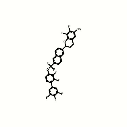 CCCc1cc2c(c(F)c1F)OC(c1ccc3cc(C(F)(F)Oc4ccc(-c5cc(F)c(F)c(F)c5)c(F)c4F)ccc3c1)CC2